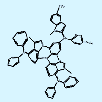 Cc1cn2c3c(ccc(N(c4ccccc4)c4ccccc4)c13)B1c3c-2cc(N(c2ccc(C(C)(C)C)cn2)c2cc4cc(C(C)(C)C)ccc4n2C)cc3-n2cc(C)c3c(N(c4ccccc4)c4ccccc4)ccc1c32